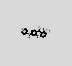 Cc1ccccc1C(=S)c1ccc(Nc2ccncc2)cc1Cl